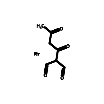 CC(=O)CC(=O)C(C=O)C=O.[Rh]